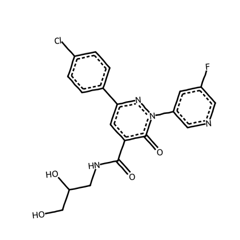 O=C(NCC(O)CO)c1cc(-c2ccc(Cl)cc2)nn(-c2cncc(F)c2)c1=O